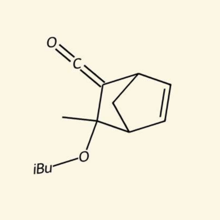 CCC(C)OC1(C)C(=C=O)C2C=CC1C2